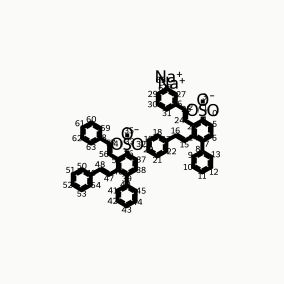 O=S(=O)([O-])c1ccc(-c2ccccc2)c(C=Cc2ccccc2)c1C=Cc1ccccc1.O=S(=O)([O-])c1ccc(-c2ccccc2)c(C=Cc2ccccc2)c1C=Cc1ccccc1.[Na+].[Na+]